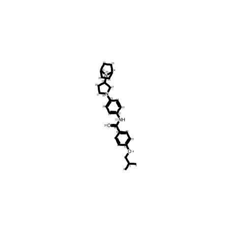 CC(C)COc1ccc(C(=O)Nc2ccc(N3CCC(N4C5CCC4CC5)C3)cc2)cc1